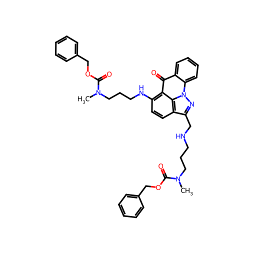 CN(CCCNCc1nn2c3ccccc3c(=O)c3c(NCCCN(C)C(=O)OCc4ccccc4)ccc1c32)C(=O)OCc1ccccc1